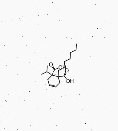 CCCCCCCC1(C(=O)O)CC=CCC1(C(=O)O)C(C)C